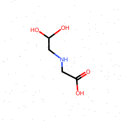 O=C(O)CNCC(O)O